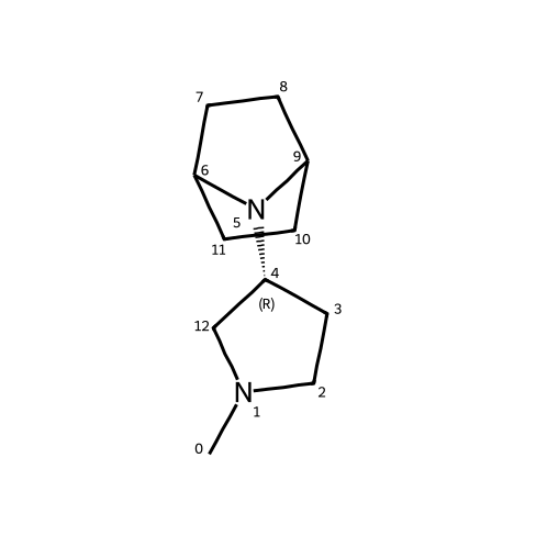 CN1CC[C@@H](N2C3CCC2CC3)C1